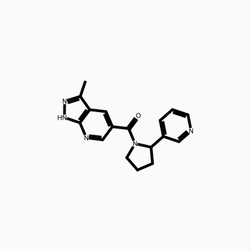 Cc1n[nH]c2ncc(C(=O)N3CCCC3c3cccnc3)cc12